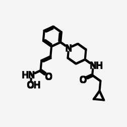 O=C(C=Cc1ccccc1N1CCC(NC(=O)CC2CC2)CC1)NO